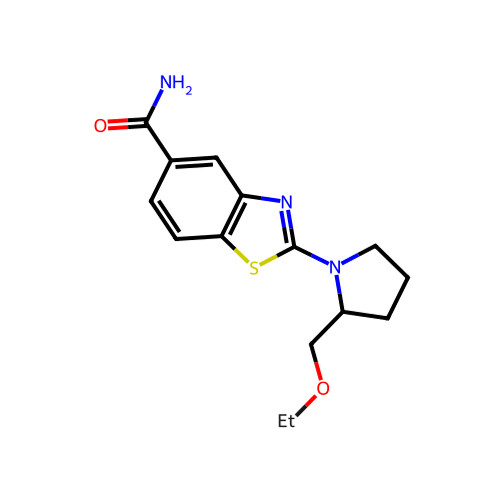 CCOCC1CCCN1c1nc2cc(C(N)=O)ccc2s1